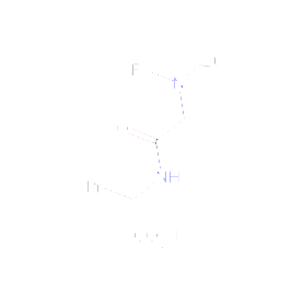 CCN(CC)CC(=O)N[C@H](C(=O)O)C(C)C